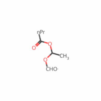 CCCC(=O)OC(C)O[C]=O